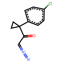 [N-]=[N+]=CC(=O)C1(c2ccc(Cl)cc2)CC1